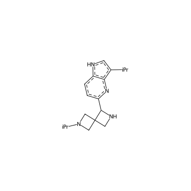 CC(C)c1c[nH]c2ccc(C3NCC34CN(C(C)C)C4)nc12